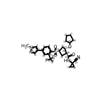 Cn1cc(-c2ccc(S(=O)(=O)[C@@H]3C[C@H](OC4CCCC4)[C@@H](C(=O)NC4(C#N)CC4)C3)c(C(F)(F)F)c2)cn1